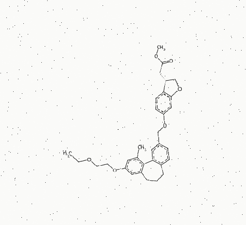 CCOCCOc1cc(C)c2c(c1)CCCc1ccc(COc3ccc4c(c3)OC[C@H]4CC(=O)OC)cc1-2